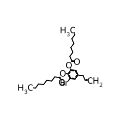 C=CCc1cc(Br)c(OC(=O)CCCCCCC)c(OC(=O)CCCCCCC)c1